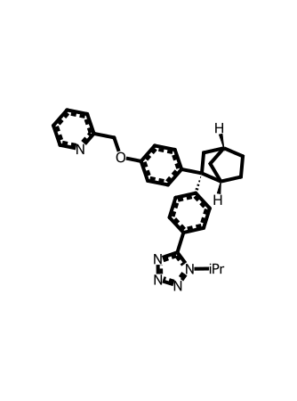 CC(C)n1nnnc1-c1ccc([C@]2(c3ccc(OCc4ccccn4)cc3)C[C@@H]3CC[C@H]2C3)cc1